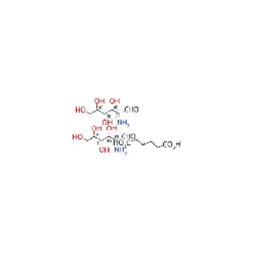 N[C@@H](C=O)[C@@H](O)[C@H](O)[C@H](O)CO.N[C@@H](C=O)[C@@H](O)[C@H](O)[C@H](O)CO.O=C(O)CCCCC(=O)O